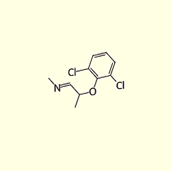 C/N=C/C(C)Oc1c(Cl)cccc1Cl